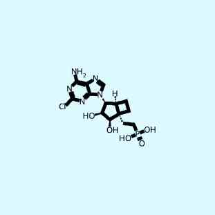 Nc1nc(Cl)nc2c1ncn2[C@H]1[C@H](O)[C@H](O)[C@]2(CCP(=O)(O)O)CC[C@H]12